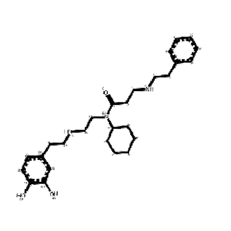 O=C(CCNCCc1ccccc1)N(CCNCCc1ccc(O)c(O)c1)C1CCCCC1